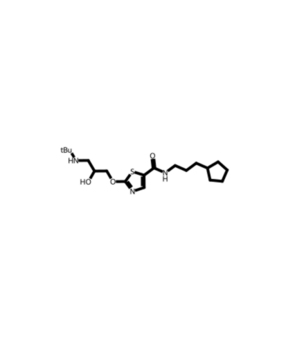 CC(C)(C)NCC(O)COc1ncc(C(=O)NCCCC2CCCC2)s1